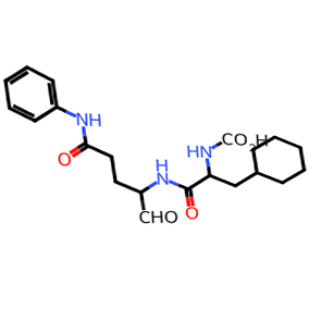 O=CC(CCC(=O)Nc1ccccc1)NC(=O)C(CC1CCCCC1)NC(=O)O